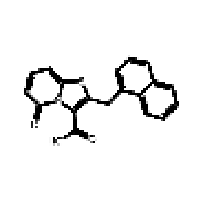 O=C(O)c1c(Cc2cccc3ccccc23)sc2cccc(=O)n12